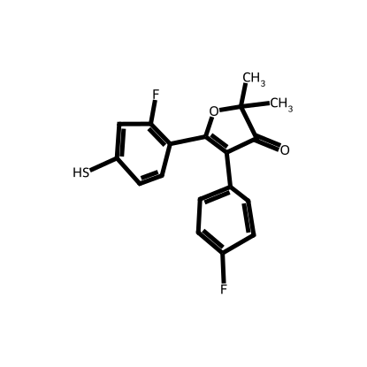 CC1(C)OC(c2ccc(S)cc2F)=C(c2ccc(F)cc2)C1=O